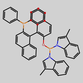 Cc1cn(P(Oc2ccc3ccccc3c2-c2c(P(c3ccccc3)c3ccccc3)ccc3ccccc23)n2cc(C)c3ccccc32)c2ccccc12